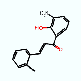 Cc1ccccc1/C=C/C(=O)c1cccc([N+](=O)[O-])c1O